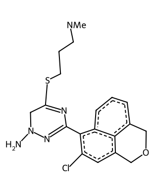 CNCCCSC1=NC(c2c(Cl)cc3c4c(cccc24)COC3)=NN(N)C1